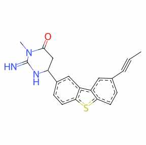 CC#Cc1ccc2sc3ccc(C4CC(=O)N(C)C(=N)N4)cc3c2c1